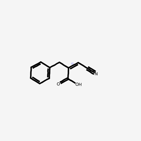 N#C/C=C(/Cc1ccccc1)C(=O)O